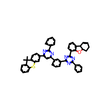 CC1(C)c2ccccc2Sc2cc(-c3cc(-c4cccc(-c5nc(-c6ccccc6)nc(-c6cccc7c6OC6CCC=CC76)n5)c4)nc(-c4ccccc4)n3)ccc21